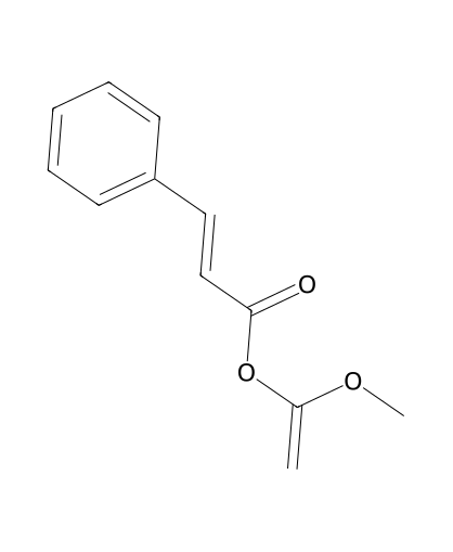 C=C(OC)OC(=O)C=Cc1ccccc1